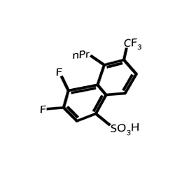 CCCc1c(C(F)(F)F)ccc2c(S(=O)(=O)O)cc(F)c(F)c12